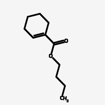 CCCCOC(=O)C1=CCCCC1